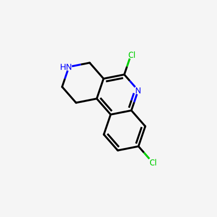 Clc1ccc2c3c(c(Cl)nc2c1)CNCC3